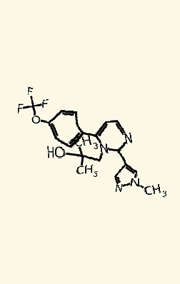 Cn1cc(C2N=CC=C(c3ccc(OC(F)(F)F)cc3)N2CC(C)(C)O)cn1